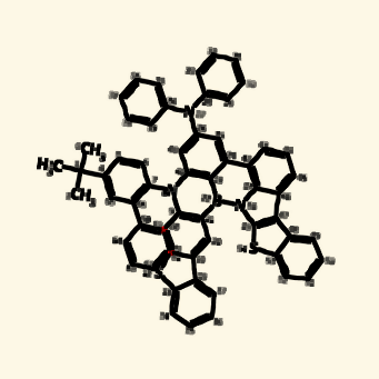 CC(C)(C)c1ccc(N2c3cc4sc5ccccc5c4cc3B3c4c(cc(N(c5ccccc5)c5ccccc5)cc42)-c2cccc4c5c6ccccc6sc5n3c24)c(-c2ccccc2)c1